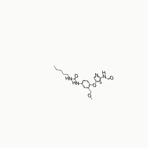 CCCCCNC(=O)Nc1ccc(Oc2cnc(NC=O)s2)c(COC)c1